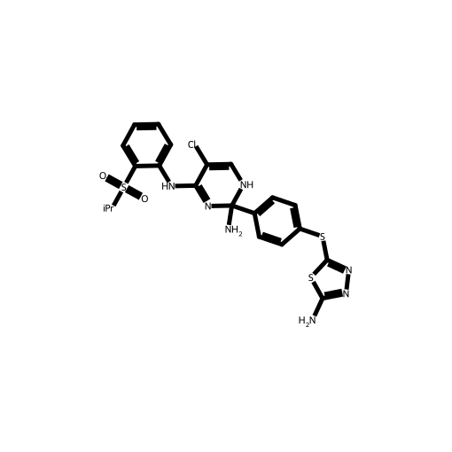 CC(C)S(=O)(=O)c1ccccc1NC1=NC(N)(c2ccc(Sc3nnc(N)s3)cc2)NC=C1Cl